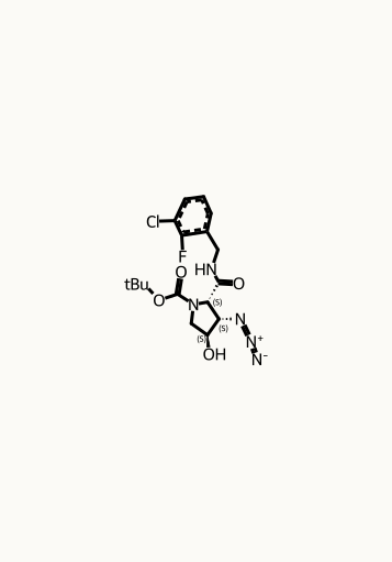 CC(C)(C)OC(=O)N1C[C@H](O)[C@@H](N=[N+]=[N-])[C@H]1C(=O)NCc1cccc(Cl)c1F